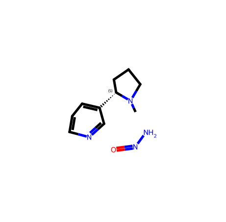 CN1CCC[C@H]1c1cccnc1.NN=O